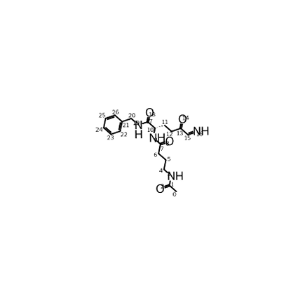 CC(=O)NCCCC(=O)N[C@@H](CCC(=O)C=N)C(=O)NCc1ccccc1